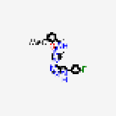 COc1cccc([C@H](C)NC(=O)N2CCN(c3ncnc4[nH]c(-c5ccc(F)cc5)cc34)C[C@H]2C)c1